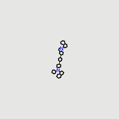 c1ccc(N(c2ccc(-c3ccc(-c4ccc5c(ccn5-c5cccc6ccccc56)c4)cc3)cc2)c2cccc3ccccc23)cc1